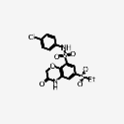 CCS(=O)(=O)c1cc2c(c(S(=O)(=O)Nc3ccc(Cl)cc3)c1)OCC(=O)N2